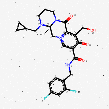 O=C(NCc1ccc(F)cc1F)c1cn2c(c(CO)c1=O)C(=O)N1CCCN(CC3CC3)[C@@H]1C2